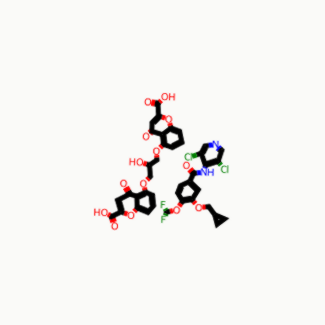 O=C(Nc1c(Cl)cncc1Cl)c1ccc(OC(F)F)c(OCC2CC2)c1.O=C(O)c1cc(=O)c2c(OCC(O)COc3cccc4oc(C(=O)O)cc(=O)c34)cccc2o1